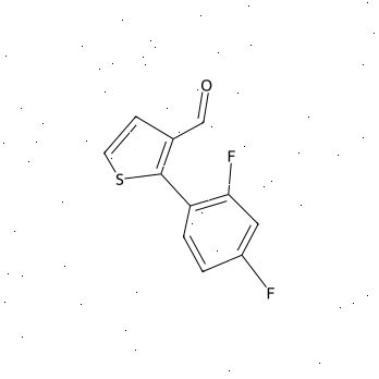 O=Cc1ccsc1-c1ccc(F)cc1F